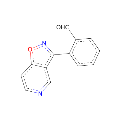 O=Cc1ccccc1-c1noc2ccncc12